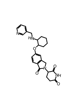 O=C1CCC(N2Cc3cc(OC4CCCCC4NCc4cccnc4)ccc3C2=O)C(=O)N1